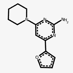 Nc1nc(-c2ccco2)cc(N2CCCCC2)n1